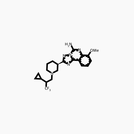 COc1cccc2c1nc(N)n1nc([C@@H]3CCCN(CC(C4CC4)C(F)(F)F)C3)nc21